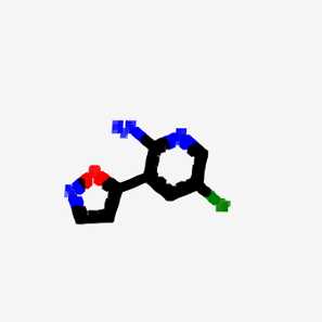 Nc1ncc(Br)cc1-c1ccno1